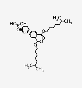 CC(C)CCCCCOC(=O)c1ccccc1C(=O)OCCCCCC(C)C.OP(O)O.c1ccccc1